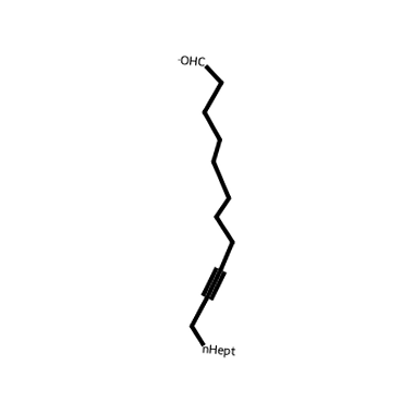 CCCCCCCCC#CCCCCCCC[C]=O